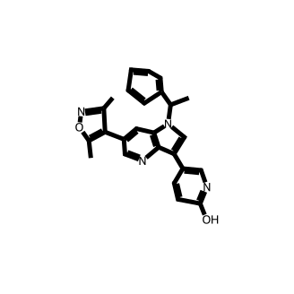 Cc1noc(C)c1-c1cnc2c(-c3ccc(O)nc3)cn(C(C)c3ccccc3)c2c1